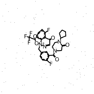 O=C1C=N[N+](Cc2ccc(F)c(C(=O)N3CCN(C4CCCC4)C(=O)C3)c2)(OC(=O)C(F)(F)F)c2cccc(F)c21